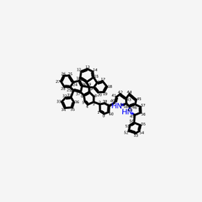 C1=CC(C2C=CC3=C(C2)C2(c4ccccc4-c4ccccc42)c2cc4ccccc4c(-c4ccccc4)c23)CC(C2=CC=C3C=CC4=C(NC(c5ccccc5)C=C4)C3N2)=C1